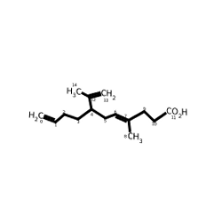 C=CCCC(C/C=C(\C)CCC(=O)O)C(=C)C